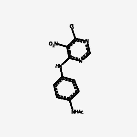 CC(=O)Nc1ccc(Nc2ncnc(Cl)c2[N+](=O)[O-])cc1